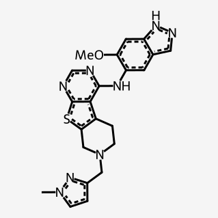 COc1cc2[nH]ncc2cc1Nc1ncnc2sc3c(c12)CCN(Cc1ccn(C)n1)C3